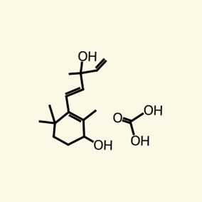 C=CC(C)(O)C=CC1=C(C)C(O)CCC1(C)C.O=C(O)O